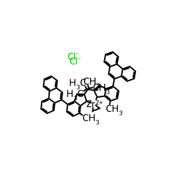 Cc1ccc(-c2cc3ccccc3c3ccccc23)c2c1[CH]([Zr+2]1([CH]3C(C(C)C)=Cc4c(-c5cc6ccccc6c6ccccc56)ccc(C)c43)[CH2][CH2]1)C(C(C)C)=C2.[Cl-].[Cl-]